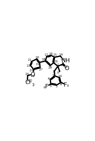 CC1(Cc2cc(F)cc(F)c2)C(=O)NCc2ccc(-c3cccc(OCC(F)(F)F)c3)cc21